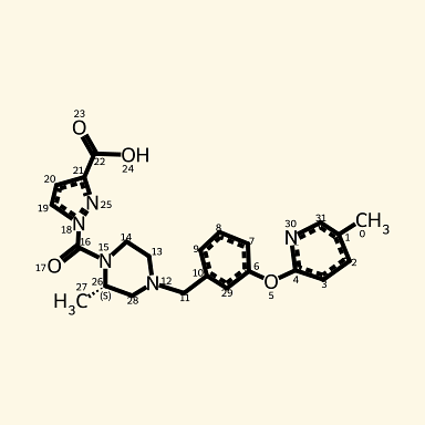 Cc1ccc(Oc2cccc(CN3CCN(C(=O)n4ccc(C(=O)O)n4)[C@@H](C)C3)c2)nc1